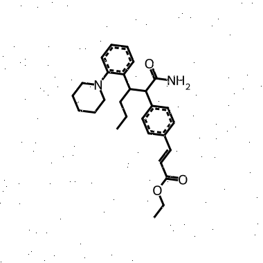 CCCC(c1ccccc1N1CCCCC1)C(C(N)=O)c1ccc(C=CC(=O)OCC)cc1